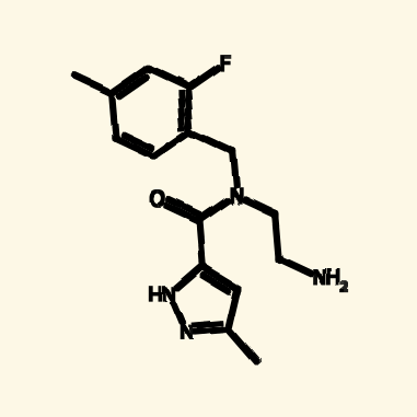 Cc1ccc(CN(CCN)C(=O)c2cc(C)n[nH]2)c(F)c1